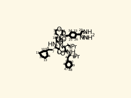 CC(C)C[C@H](NC(=O)[C@H](CCc1ccccc1)NC(=O)C[N+]1(COC(=O)c2ccc(/C(=C/N)N=N)cc2)CCOCC1)C(=O)N[C@@H](Cc1ccccc1)C(C)C